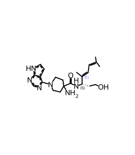 CC(C)=C/C=C(\C)[C@H](CCO)NC(=O)C1(N)CCN(c2ncnc3[nH]ccc23)CC1